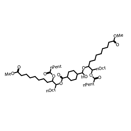 CCCCCCCCC(OC(=O)CCCCC)C(CCCCCCCC(=O)OC)OC(O)C1CCC(C(=O)OC(CCCCCCCC)C(CCCCCCCC(=O)OC)OC(=O)CCCCC)CC1